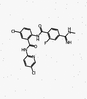 CNC(=N)c1ccc(C(=O)Nc2ccc(Cl)cc2C(=O)Nc2ccc(Cl)cn2)c(F)c1